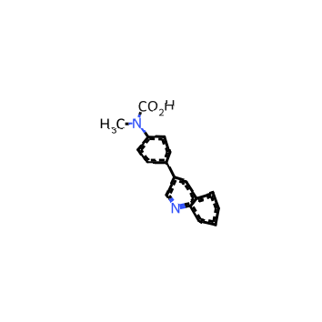 CN(C(=O)O)c1ccc(-c2cnc3ccccc3c2)cc1